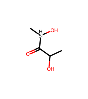 CC(O)C(=O)[SiH](C)O